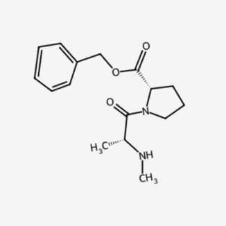 CN[C@H](C)C(=O)N1CCC[C@H]1C(=O)OCc1ccccc1